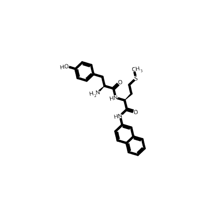 CSCC[C@H](NC(=O)[C@@H](N)Cc1ccc(O)cc1)C(=O)Nc1ccc2ccccc2c1